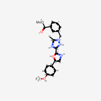 COC(=O)c1cccc(Cn2nc(-c3ncc(-c4ccc(OC(F)(F)F)cc4)o3)nc2C)c1